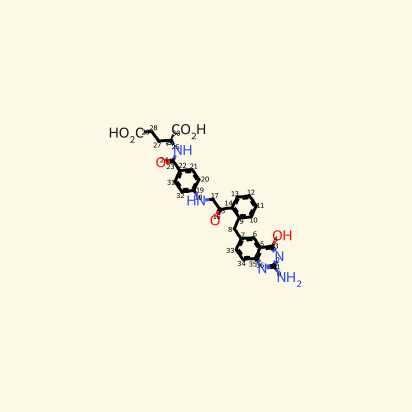 Nc1nc(O)c2cc(Cc3ccccc3C(=O)CNc3ccc(C(=O)N[C@@H](CCC(=O)O)C(=O)O)cc3)ccc2n1